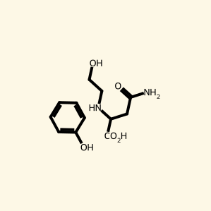 NC(=O)CC(NCCO)C(=O)O.Oc1ccccc1